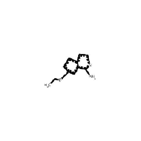 CCOc1ccc2ccnc(N)c2c1